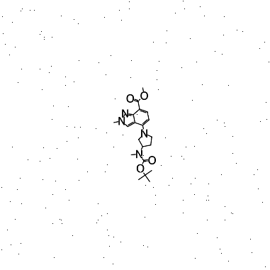 COC(=O)c1ccc(N2CCC(N(C)C(=O)OC(C)(C)C)C2)c2cn(C)nc12